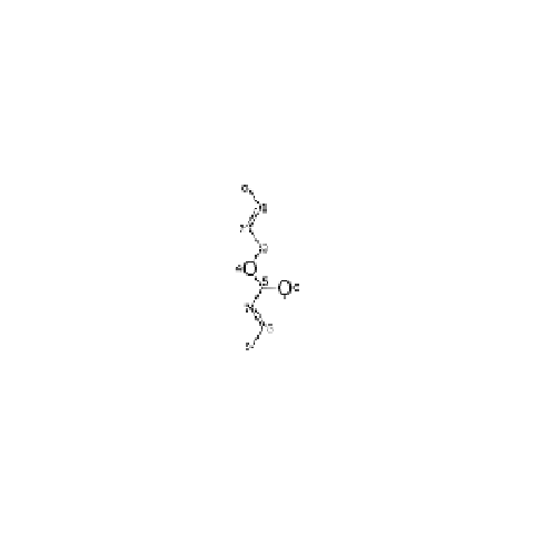 CC=CCOC([O])C=CC